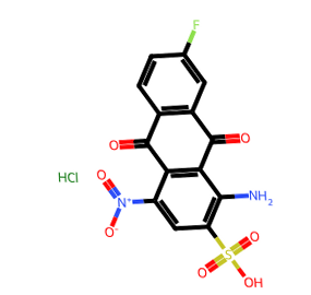 Cl.Nc1c(S(=O)(=O)O)cc([N+](=O)[O-])c2c1C(=O)c1cc(F)ccc1C2=O